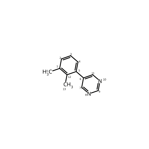 Cc1cccc(-c2[c]ncnc2)c1C